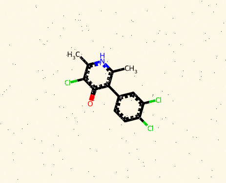 Cc1[nH]c(C)c(-c2ccc(Cl)c(Cl)c2)c(=O)c1Cl